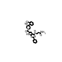 N#CC1(c2ccccc2Cl)CCN(C(=O)c2cc3c(NCCC(N)=O)nc(-c4ccccc4)nc3[nH]2)CC1